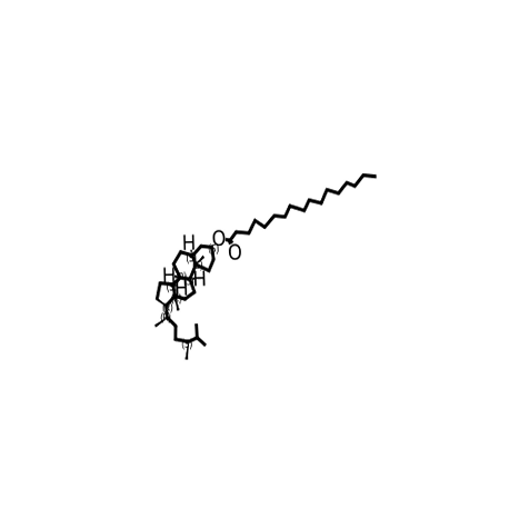 CCCCCCCCCCCCCCCCC(=O)O[C@H]1CC[C@@]2(C)[C@@H](CC[C@@H]3[C@@H]2CC[C@]2(C)[C@@H]([C@H](C)CC[C@H](C)C(C)C)CC[C@@H]32)C1